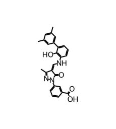 CC1=NN(c2cccc(C(=O)O)c2)C(=O)/C1=C\Nc1cccc(-c2cc(C)cc(C)c2)c1O